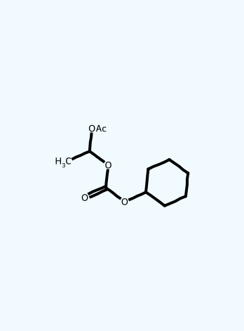 CC(=O)OC(C)OC(=O)OC1CCCCC1